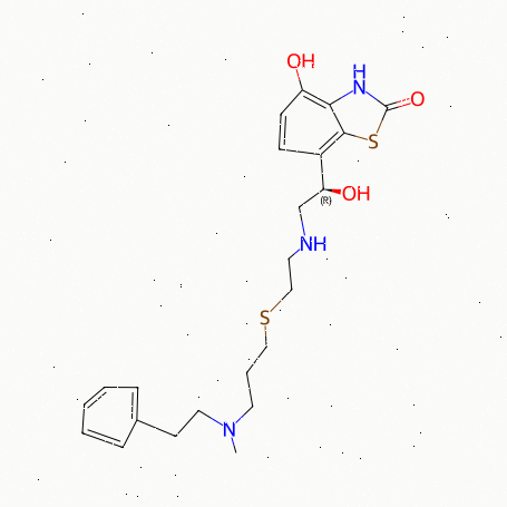 CN(CCCSCCNC[C@H](O)c1ccc(O)c2[nH]c(=O)sc12)CCc1ccccc1